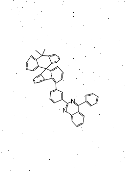 CC1(C)c2ccccc2C2(c3ccccc3-c3c(-c4cccc(-c5nc(-c6ccccc6)c6ccccc6n5)c4)cccc32)c2ccccc21